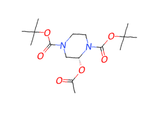 CC(=O)O[C@@H]1CN(C(=O)OC(C)(C)C)CCN1C(=O)OC(C)(C)C